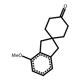 COc1cccc2c1CC1(CCC(=O)CC1)C2